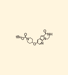 CC(C)(C)OC(=O)N1CCC(Oc2cnc3c(c2)cc2n3CCNC2=O)CC1